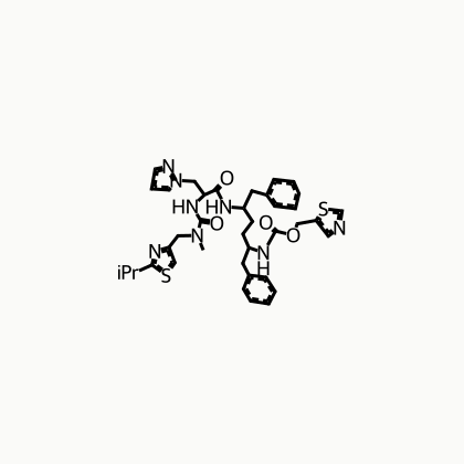 CC(C)c1nc(CN(C)C(=O)NC(Cn2cccn2)C(=O)NC(CCC(Cc2ccccc2)NC(=O)OCc2cncs2)Cc2ccccc2)cs1